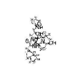 CC1(NCC(O)CNC(=O)[C@@H](Cc2ccc3ccccc3c2)NC(=O)[C@@H]2CCCN2C(=O)C(C)(C)C)CC=CO1.Cl